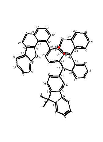 CC1(C)c2ccccc2-c2cc(N(c3ccc(-c4cccc5ccc6c7ccccc7oc6c45)cc3)c3ccccc3-c3cccc4ccccc34)ccc21